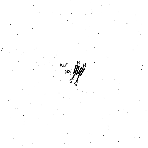 N#C[S-].N#C[S-].[Au+].[Na+]